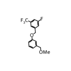 COCc1cccc(OCc2cc(F)cc(C(F)(F)F)c2)c1